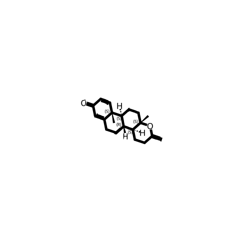 C=C1CC[C@H]2[C@@H]3CCC4=CC(=O)C=C[C@]4(C)[C@H]3CC[C@]2(C)O1